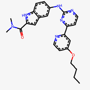 CCCCOc1ccnc(-c2ccnc(Nc3ccc4[nH]c(C(=O)N(C)C)cc4c3)n2)c1